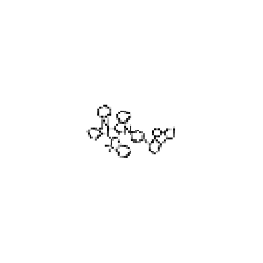 CC1(C)c2ccccc2-c2c1c1c3ccccc3n(-c3ccccc3)c1c1c3ccccc3n(-c3ccc(-c4cccc5c4oc4ccccc45)cc3)c21